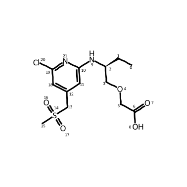 CC[C@@H](COCC(=O)O)Nc1cc(CS(C)(=O)=O)cc(Cl)n1